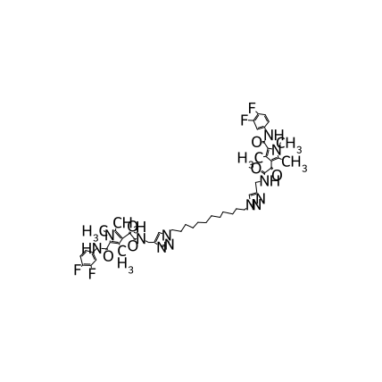 Cc1c(C(=O)C(=O)NCc2cn(CCCCCCCCCCCCn3cc(CNC(=O)C(=O)c4c(C)c(C(=O)Nc5ccc(F)c(F)c5)n(C)c4C)nn3)nn2)c(C)n(C)c1C(=O)Nc1ccc(F)c(F)c1